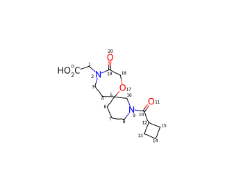 O=C(O)CN1CCC2(CCCN(C(=O)C3CCC3)C2)OCC1=O